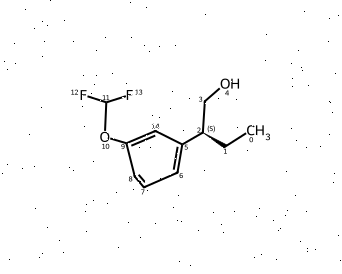 CC[C@H](CO)c1cccc(OC(F)F)c1